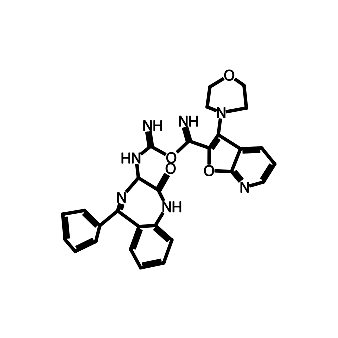 N=C(NC1N=C(c2ccccc2)c2ccccc2NC1=O)OC(=N)c1oc2ncccc2c1N1CCOCC1